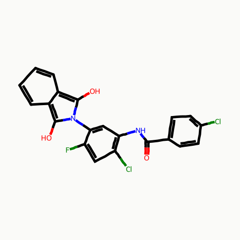 O=C(Nc1cc(-n2c(O)c3ccccc3c2O)c(F)cc1Cl)c1ccc(Cl)cc1